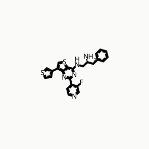 N[C@H](CNc1nc(-c2ccncc2F)nc2c(-c3ccsc3)csc12)Cc1ccccc1